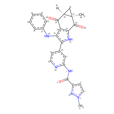 Cn1ccc(C(=O)Nc2cc(-c3[nH]c4c(c3Nc3ccccc3)C(=O)[C@H]3C[C@@]3(C)C4=O)ccn2)n1